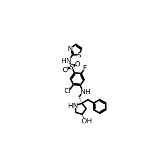 O=S(=O)(Nc1nccs1)c1cc(Cl)c(NC[C@]2(Cc3ccccc3)C[C@H](O)CN2)cc1F